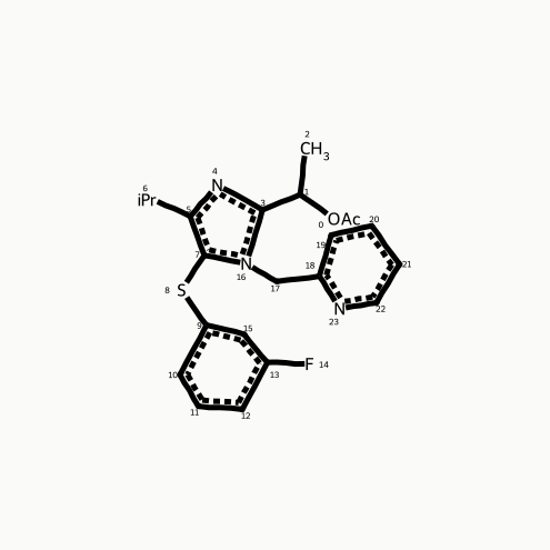 CC(=O)OC(C)c1nc(C(C)C)c(Sc2cccc(F)c2)n1Cc1ccccn1